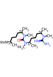 CN[C@H](C)CCC[C@@H](C)N(C)C(=O)N(C)[C@H](C)CCC[C@@H](C)N(C)C(=N)N